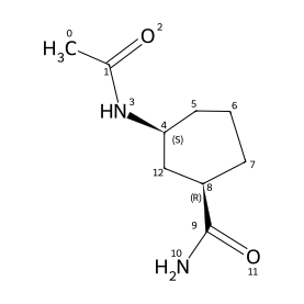 CC(=O)N[C@H]1CCC[C@@H](C(N)=O)C1